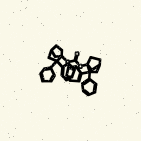 O=C(OC12CCC(C1)CC2(c1ccccc1)c1ccccc1)OC12CCC(C1)CC2(c1ccccc1)c1ccccc1